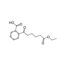 CCOC(=O)CCCCC(=O)c1ccccc1C(=O)O